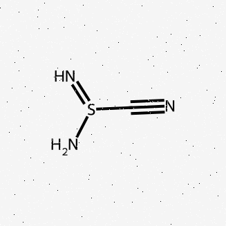 N#CS(=N)N